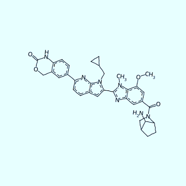 COc1cc(C(=O)N2CC3CCC2C3N)cc2nc(-c3cc4ccc(-c5ccc6c(c5)COC(=O)N6)nc4n3CC3CC3)n(C)c12